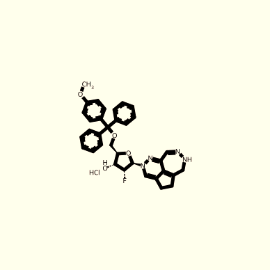 COc1ccc(C(OC[C@H]2O[C@@H](N3C=C4CCC5=C4C(=N3)C=NNC5)[C@H](F)[C@@H]2O)(c2ccccc2)c2ccccc2)cc1.Cl